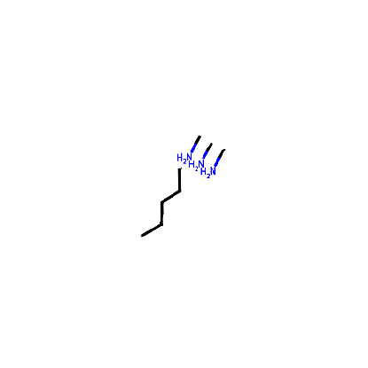 CN.CN.CN.[CH2]CCCC